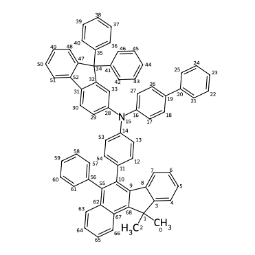 CC1(C)c2ccccc2-c2c(-c3ccc(N(c4ccc(-c5ccccc5)cc4)c4ccc5c(c4)C(c4ccccc4)(c4ccccc4)c4ccccc4-5)cc3)c(-c3ccccc3)c3ccccc3c21